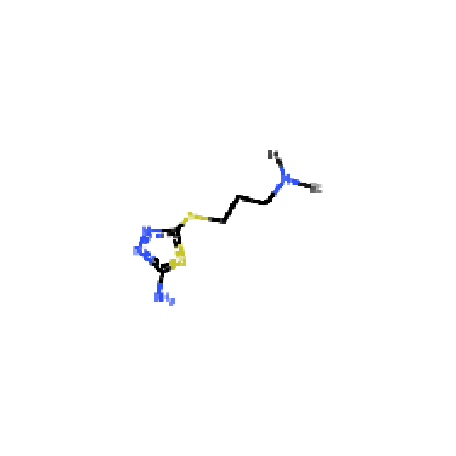 CCN(CC)CCCSc1nnc(N)s1